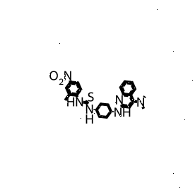 Cc1cc([N+](=O)[O-])ccc1NC(=S)N[C@H]1CC[C@@H](Nc2cc(N(C)C)c3ccccc3n2)CC1